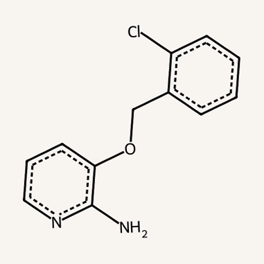 Nc1ncccc1OCc1ccccc1Cl